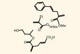 C=C(CC)C(=O)OCCCCCC.C=C(CC=CC(=O)O)C(=O)OC(C)CCO.C=C(CC=Cc1ccccc1)C(=O)OC